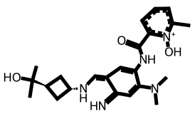 Cc1cccc(C(=O)NC2=C/C(=C/N[C@H]3C[C@H](C(C)(C)O)C3)C(=N)C=C2N(C)C)[n+]1O